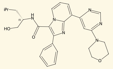 CC(C)C[C@@H](CO)NC(=O)c1c(-c2ccccc2)nc2c(-c3cc(N4CCOCC4)ncn3)cccn12